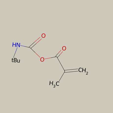 C=C(C)C(=O)OC(=O)NC(C)(C)C